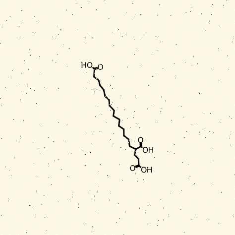 O=C(O)CCCCCCCCCCCCCCCC(CCC(=O)O)C(=O)O